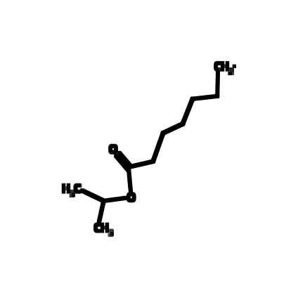 [CH2]CCCCCC(=O)OC(C)C